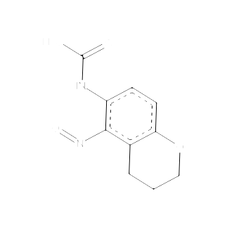 CC(=O)Nc1ccc2c(c1N=O)CCCO2